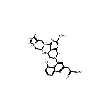 CNC(=O)Oc1cc(N2CCc3c(nc(OC)nc3N3Cc4c(F)ncn4CC3C)C2)c2c(Cl)cccc2c1